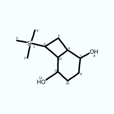 C[Si](C)(C)C1CC2C(O)CCC(O)C21